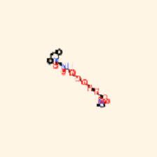 C=C1CCC(=O)N1OC(=O)CCOCCOCCOCCOCCOCCC(=O)NCCC(=O)N1Cc2ccccc2C#Cc2ccccc21